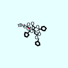 CC(C)(C)OC(=O)CN1C(=O)[C@@H](OC(=O)c2ccccc2)[C@]1(C=CC(=O)OCc1ccccc1)OC(=O)c1ccccc1